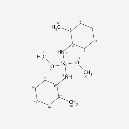 CO[Si](NC1CCCCC1C)(NC1CCCCC1C)OC